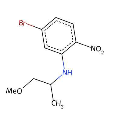 COCC(C)Nc1cc(Br)ccc1[N+](=O)[O-]